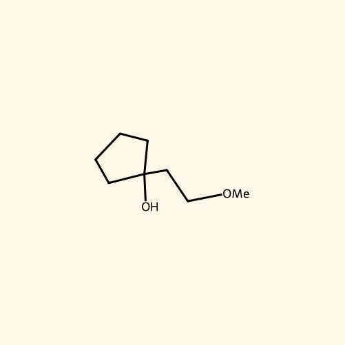 COCCC1(O)CCCC1